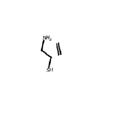 C=C.NCCS